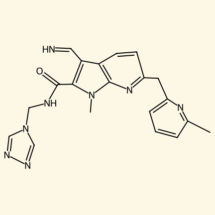 Cc1cccc(Cc2ccc3c(C=N)c(C(=O)NCn4cnnc4)n(C)c3n2)n1